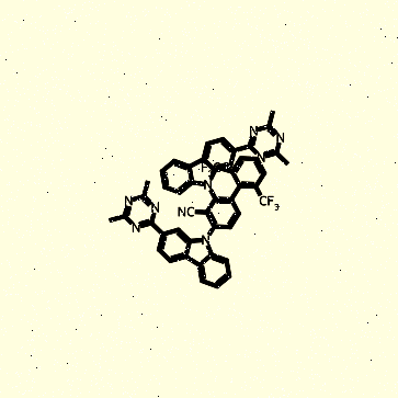 Cc1nc(C)nc(-c2ccc3c4ccccc4n(-c4ccc(-c5c(C(F)(F)F)cccc5C(F)(F)F)c(-n5c6ccccc6c6ccc(-c7nc(C)nc(C)n7)cc65)c4C#N)c3c2)n1